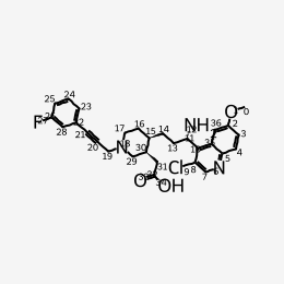 COc1ccc2ncc(Cl)c([C@@H](N)CC[C@@H]3CCN(CC#Cc4cccc(F)c4)C[C@@H]3CC(=O)O)c2c1